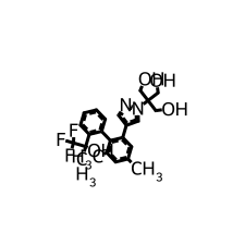 Cc1cc(C)c(-c2ccccc2C(C)(O)C(F)(F)F)c(-c2cnn(C(CO)(CO)CO)c2)c1